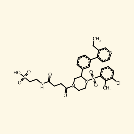 CCc1cnccc1-c1cccc(C2CN(C(=O)CCC(=O)NCCS(=O)(=O)O)CCN2S(=O)(=O)c2cccc(Cl)c2C)c1